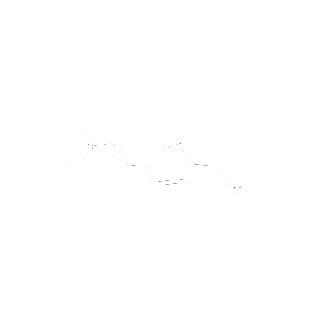 COCc1ccc(/C=N/N(C)C)cc1